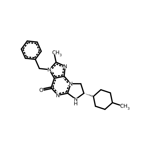 Cc1nc2c(c(=O)nc3n2C[C@H](C2CCC(C)CC2)N3)n1Cc1ccccc1